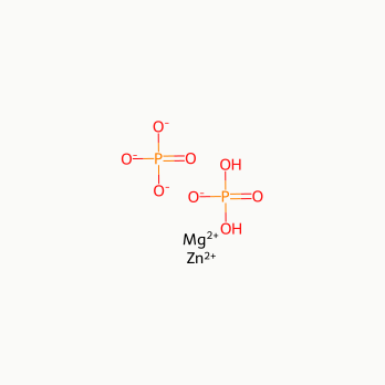 O=P([O-])(O)O.O=P([O-])([O-])[O-].[Mg+2].[Zn+2]